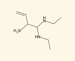 C=CC([SiH3])C(NCC)NCC